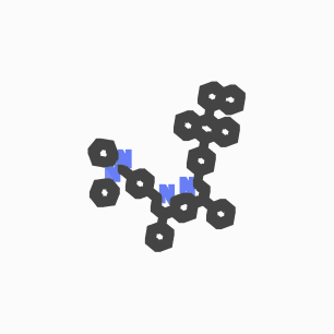 c1ccc(-c2cc(-c3ccc(-c4c5ccccc5c(-c5cccc6ccccc56)c5ccccc45)cc3)nc3c2ccc2c(-c4ccccc4)cc(-c4ccc(-c5nc6ccccc6n5-c5ccccc5)cc4)nc23)cc1